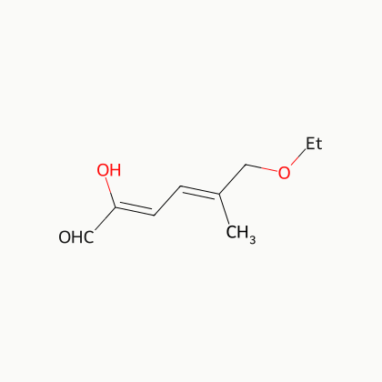 CCOC/C(C)=C/C=C(\O)C=O